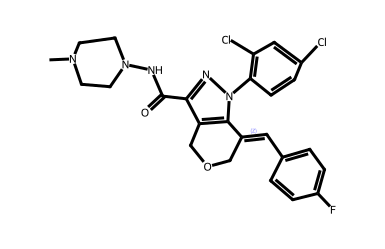 CN1CCN(NC(=O)c2nn(-c3ccc(Cl)cc3Cl)c3c2COC/C3=C\c2ccc(F)cc2)CC1